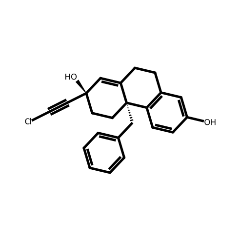 Oc1ccc2c(c1)CCC1=C[C@@](O)(C#CCl)CC[C@@]12Cc1ccccc1